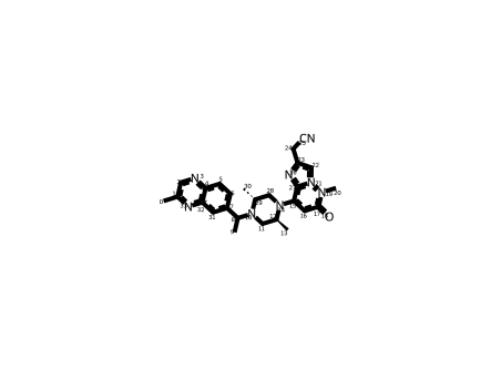 Cc1cnc2ccc(C(C)N3C[C@H](C)N(c4cc(=O)n(C)n5cc(CC#N)nc45)C[C@H]3C)cc2n1